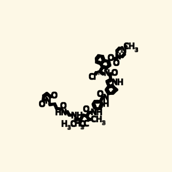 CC(C)C(CC(=O)[C@H](C)NCCNC(=O)CCCN1C(=O)C=CC1=O)C(=O)Nc1ccc(C(=O)Nc2ccc3[nH]c(C(=O)N4C[C@@H](CCl)c5c4cc(OC(=O)N4CCN(C)CC4)c4ccccc54)cc3c2)cc1